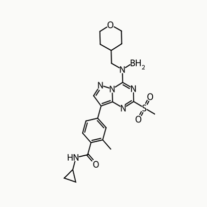 BN(CC1CCOCC1)c1nc(S(C)(=O)=O)nc2c(-c3ccc(C(=O)NC4CC4)c(C)c3)cnn12